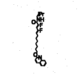 CC(C)CNC(=O)C(F)=CC(F)=CCCCCCCCOc1ccc2ccccc2n1